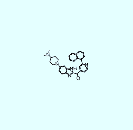 CN(C)C1CCN(c2ccc3nc(C(=O)c4ccnc(-c5cccc6ccccc56)c4)[nH]c3c2)CC1